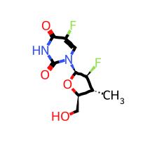 C[C@H]1[C@H](F)[C@H](n2cc(F)c(=O)[nH]c2=O)O[C@@H]1CO